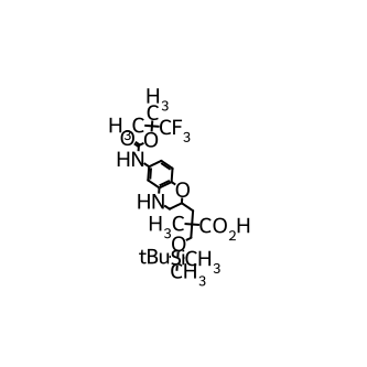 CC(CO[Si](C)(C)C(C)(C)C)(CC1CNc2cc(NC(=O)OC(C)(C)C(F)(F)F)ccc2O1)C(=O)O